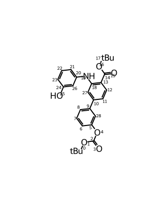 CC(C)(C)OC(=O)Oc1cccc(-c2ccc(C(=O)OC(C)(C)C)c(Nc3cccc(O)c3)c2)c1